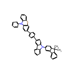 CC1(C)c2ccccc2-c2cc(-n3c4ccccc4c4cc(-c5ccc(-c6ccc7c(c6)Sc6ccccc6N7c6ccccc6)cc5)ccc43)ccc21